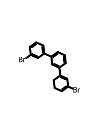 BrC1=CCCC(c2cccc(-c3cccc(Br)c3)c2)=C1